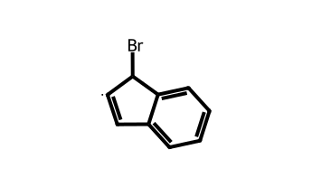 BrC1[C]=Cc2ccccc21